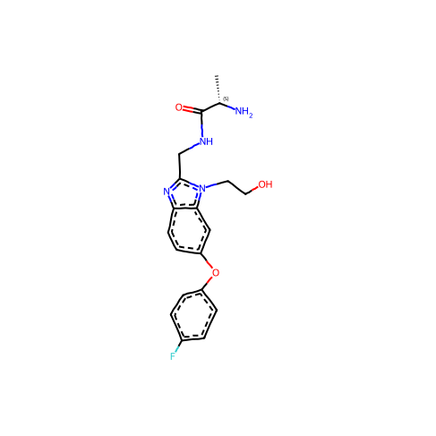 C[C@H](N)C(=O)NCc1nc2ccc(Oc3ccc(F)cc3)cc2n1CCO